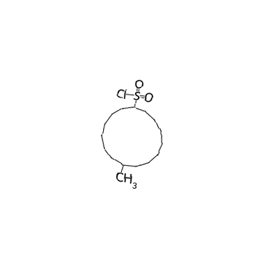 CC1CCCCCCCC(S(=O)(=O)Cl)CCCCCC1